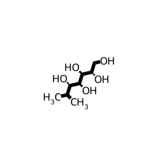 CC(C)[C@H](O)[C@H](O)[C@@H](O)[C@@H](O)CO